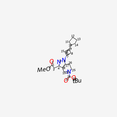 COC(=O)Cc1nn(C23CC(C4CCCC4)(C2)C3)c2c1CN(C(=O)OC(C)(C)C)CC2